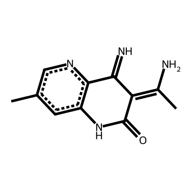 C/C(N)=C1/C(=N)c2ncc(C)cc2NC1=O